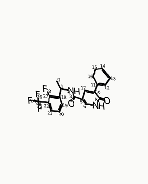 CC(NC(=O)c1c[nH]c(=O)c(C2=CC=CCC2)c1)c1cccc(C(F)(F)F)c1F